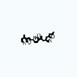 Cc1cc2cc(Cc3coc4nc(-c5cc6c(C)ccnc6o5)ccc34)cnc2o1